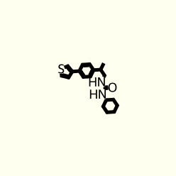 CC(CNC(=O)NC1CCCCC1)c1ccc(-c2ccsc2)cc1